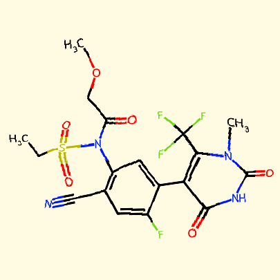 CCS(=O)(=O)N(C(=O)COC)c1cc(-c2c(C(F)(F)F)n(C)c(=O)[nH]c2=O)c(F)cc1C#N